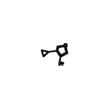 CC(C)c1cocc1C1CC1